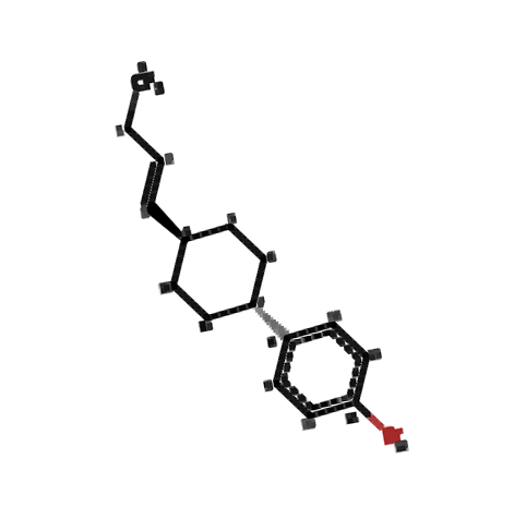 FC(F)(F)CC=C[C@H]1CC[C@H](c2ccc(Br)cc2)CC1